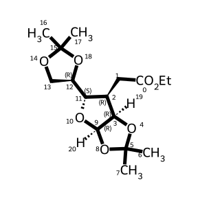 CCOC(=O)C[C@H]1[C@H]2OC(C)(C)O[C@H]2O[C@@H]1[C@H]1COC(C)(C)O1